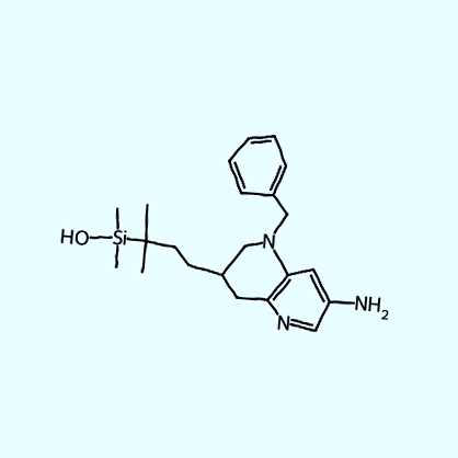 CC(C)(CCC1Cc2ncc(N)cc2N(Cc2ccccc2)C1)[Si](C)(C)O